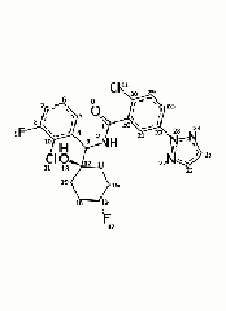 O=C(NC(c1cccc(F)c1Cl)[C@]1(O)CC[C@H](F)CC1)c1cc(-n2nccn2)ccc1Cl